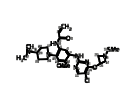 C=CC(=O)Nc1cc(Nc2ncc(Cl)c(OC3CN(SC)C3)n2)c(OC)cc1N1CCC(N(C)C)CC1